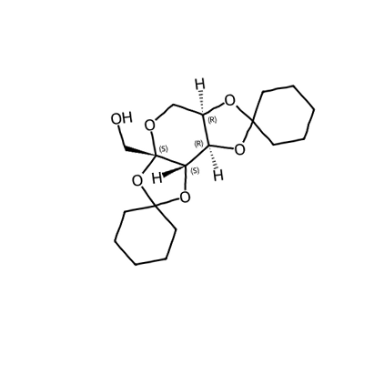 OC[C@@]12OC[C@H]3OC4(CCCCC4)O[C@H]3[C@@H]1OC1(CCCCC1)O2